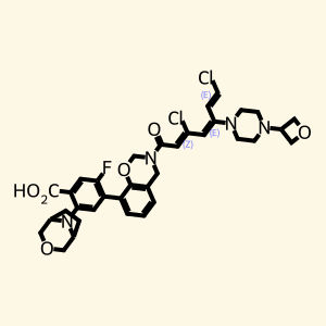 O=C(O)c1cc(F)c(-c2cccc3c2OCN(C(=O)/C=C(Cl)/C=C(\C=C\Cl)N2CCN(C4COC4)CC2)C3)cc1N1C2CCC1COC2